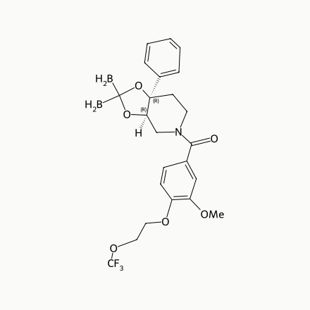 BC1(B)O[C@@H]2CN(C(=O)c3ccc(OCCOC(F)(F)F)c(OC)c3)CC[C@]2(c2ccccc2)O1